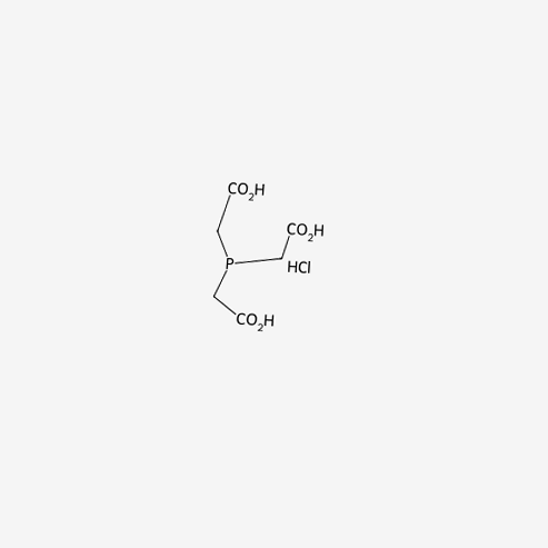 Cl.O=C(O)CP(CC(=O)O)CC(=O)O